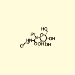 CC(C)N(C(=O)NCCCl)[C@@H]1O[C@H](CO)[C@H](O)[C@H](O)[C@H]1O